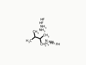 CC(C)C(C)C.F.F.F.F.N.N.N.N